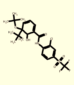 CC(C)(C)OC1(C(C)(C)C)C=CC=C(C(=O)Nc2ccc(S(=O)(=O)C(F)(F)F)cc2Cl)C1O